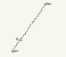 CCCCCCCCCCCCCCCCCCCCCCCCCCCCCCCCOC(=O)CCCCCCCCCCCCCCCC